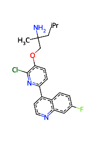 CC(C)CC(C)(N)COc1ccc(-c2ccnc3cc(F)ccc23)nc1Cl